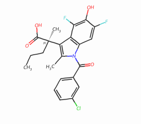 CCC[C@@](C)(C(=O)O)c1c(C)n(C(=O)c2cccc(Cl)c2)c2cc(F)c(O)c(F)c12